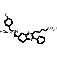 O=C(O)CCCCc1nc2cc(C(=O)N[C@H](CO)c3ccc(F)cc3)ccc2nc1-c1ccccc1